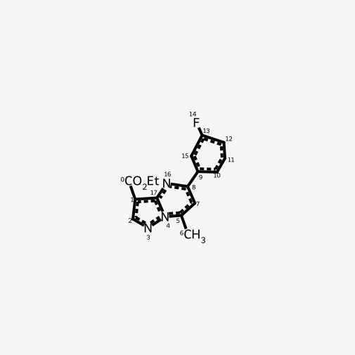 CCOC(=O)c1cnn2c(C)cc(-c3cccc(F)c3)nc12